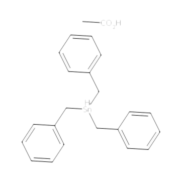 CC(=O)O.c1ccc([CH2][SnH]([CH2]c2ccccc2)[CH2]c2ccccc2)cc1